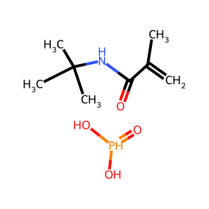 C=C(C)C(=O)NC(C)(C)C.O=[PH](O)O